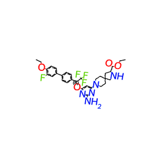 CCOC(=O)C1CC2(CCN(c3cc(O[C@H](c4ccc(-c5ccc(OCC)c(F)c5)cc4)C(F)(F)F)nc(N)n3)CC2)CN1